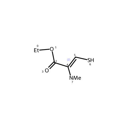 CCOC(=O)/C(=C/S)NC